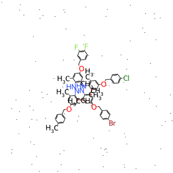 Cc1ccc(COc2cc(C)c(N(Nc3c(C)cc(OCc4ccc(F)c(F)c4)cc3C)N(Nc3c(C)cc(OCc4ccc(Cl)cc4)cc3C)c3c(C)cc(OCc4ccc(Br)cc4)cc3C)c(C)c2)cc1